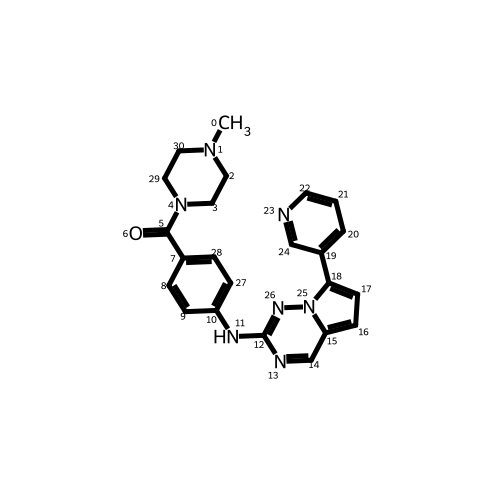 CN1CCN(C(=O)c2ccc(Nc3ncc4ccc(-c5cccnc5)n4n3)cc2)CC1